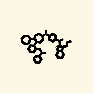 C=C/C=c1\c(=C(/C)c2ccc(N(C)C3C=CC(c4ccccc4CC(C)c4ccccc4)=C(C4=CC=CC=CC4)CC3)cc2)oc2ccccc12